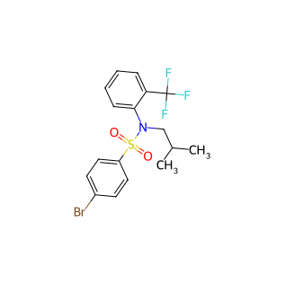 CC(C)CN(c1ccccc1C(F)(F)F)S(=O)(=O)c1ccc(Br)cc1